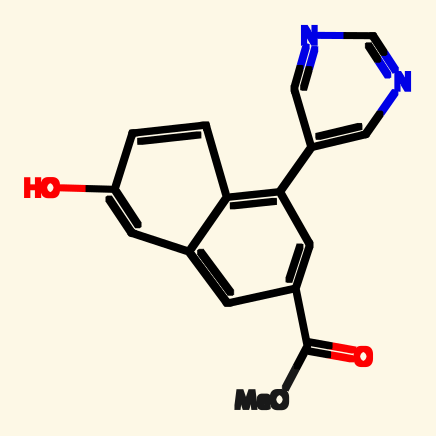 COC(=O)c1cc(-c2cncnc2)c2ccc(O)cc2c1